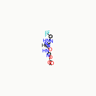 CC1(C)OC[C@H](COc2ccc(NC(=O)C3C[C@H]4CN3C3=CN=C(c5cccc(C(F)(F)F)c5)NC3=N4)cn2)O1